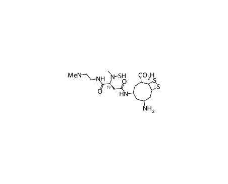 CNCCNC(=O)[C@H](CC(=O)NC1CC(N)CC2SSC2C(C(=O)O)C1)N(C)S